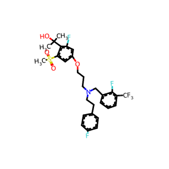 CC(C)(O)c1c(F)cc(OCCCN(CCc2ccc(F)cc2)Cc2cccc(C(F)(F)F)c2F)cc1S(C)(=O)=O